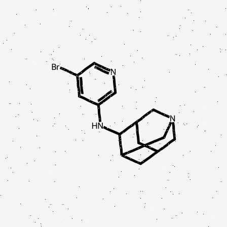 Brc1cncc(NC2C3CC4CC2CN(C4)C3)c1